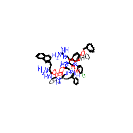 C[C@H](NC(=O)[C@@H](N)Cc1ccc2ccccc2c1)C(=O)N[C@H](Cc1c[nH]c2ccccc12)C(=O)N[C@@H](CO)C(=O)N[C@@H](Cc1ccc(OCc2ccccc2)cc1)C(=O)N(c1ccc(Cl)cc1)[C@@H]([C]=O)CCCNC(=N)N